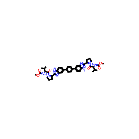 COC(=O)NC(C(=O)N1CCCC1c1nc2cc(-c3ccc(-c4ccc5[nH]c(C6CCCN6C(=O)[C@@H](NC(=O)OC)C(C)C)nc5c4)cc3)ccc2[nH]1)C(C)C